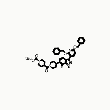 Cn1nc(-c2ccc(OCc3ccccc3)nc2OCc2ccccc2)c2ccc(C3CCN(C(=O)C4CCN(C(=O)OC(C)(C)C)CC4)CC3)c(F)c21